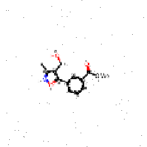 COC(=O)c1cccc(-c2onc(C)c2CO)c1